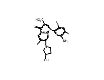 Nc1nc(-n2cc(C(=O)O)c(=O)c3cc(F)c(N4CCC(O)C4)cc32)c(F)cc1F